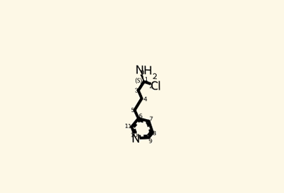 N[C@@H](Cl)CCCc1cccnc1